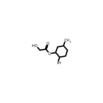 CC1CCC(C(C)C)C(OC(=O)CO)C1